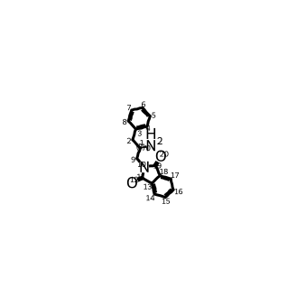 N[C@H](Cc1ccccc1)CN1C(=O)c2ccccc2C1=O